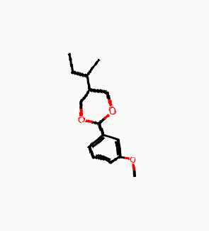 CCC(C)C1COC(c2cccc(OC)c2)OC1